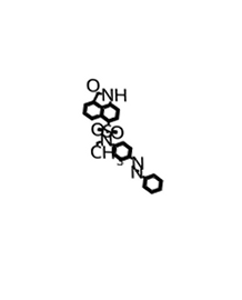 CCN(c1ccc(N=Nc2ccccc2)cc1)S(=O)(=O)c1ccc2c3c(cccc13)C(=O)N2